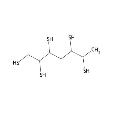 CC(S)C(S)CC(S)C(S)CS